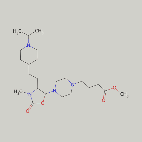 COC(=O)CCCN1CCN(C2OC(=O)N(C)C2CCC2CCN(C(C)C)CC2)CC1